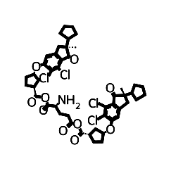 C[C@@]1(C2CCCC2)Cc2cc(O[C@H]3CC[C@H](C(=O)OC(=O)CC[C@H](N)C(=O)OC(=O)[C@H]4CC[C@H](Oc5cc6c(c(Cl)c5Cl)C(=O)[C@](C)(C5CCCC5)C6)C4)C3)c(Cl)c(Cl)c2C1=O